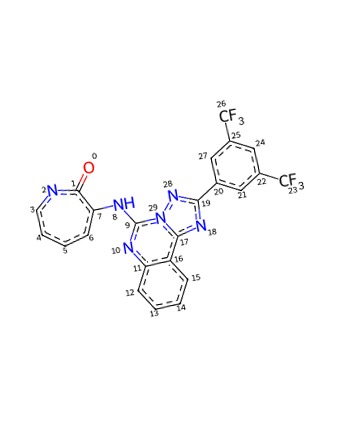 O=c1nccccc1Nc1nc2ccccc2c2nc(-c3cc(C(F)(F)F)cc(C(F)(F)F)c3)nn12